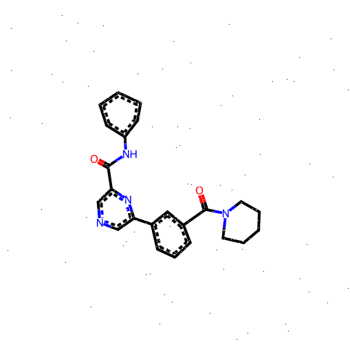 O=C(Nc1ccccc1)c1cncc(-c2cccc(C(=O)N3CCCCC3)c2)n1